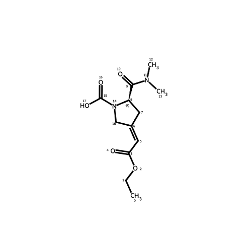 CCOC(=O)C=C1C[C@H](C(=O)N(C)C)N(C(=O)O)C1